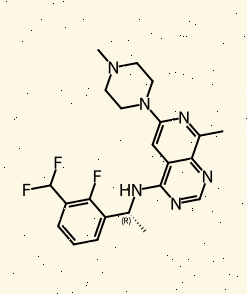 Cc1nc(N2CCN(C)CC2)cc2c(N[C@H](C)c3cccc(C(F)F)c3F)ncnc12